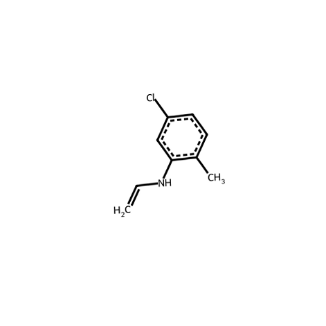 C=CNc1cc(Cl)ccc1C